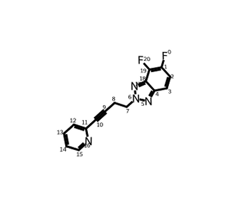 Fc1ccc2nn(CCC#Cc3ccccn3)nc2c1F